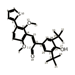 COc1ccc(-c2cccs2)c(OC)c1C=C(C=O)c1cc(C(C)(C)C)c(O)c(C(C)(C)C)c1